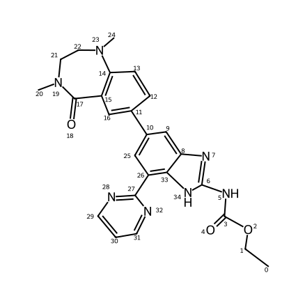 CCOC(=O)Nc1nc2cc(-c3ccc4c(c3)C(=O)N(C)CCN4C)cc(-c3ncccn3)c2[nH]1